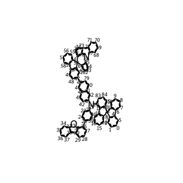 c1ccc2c(c1)-c1ccccc1C21c2ccccc2-c2c(N(c3ccc(-c4cccc5c4oc4ccccc45)cc3)c3ccc4cc(-c5ccc6c(c5)C5(c7ccccc7-6)c6ccccc6-n6c7ccccc7c7cccc5c76)ccc4c3)cccc21